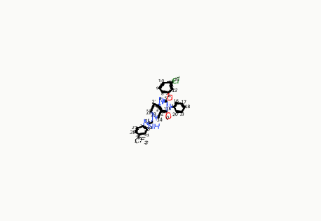 O=c1c2c(nc(Oc3cccc(Cl)c3)n1-c1ccccc1)CCN(c1nc3ccc(C(F)(F)F)cc3[nH]1)C2